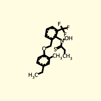 CCC(=S)N(O)c1c(COc2ccc(CC)cc2C)cccc1C(F)(F)F